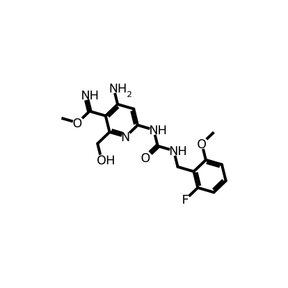 COC(=N)c1c(N)cc(NC(=O)NCc2c(F)cccc2OC)nc1CO